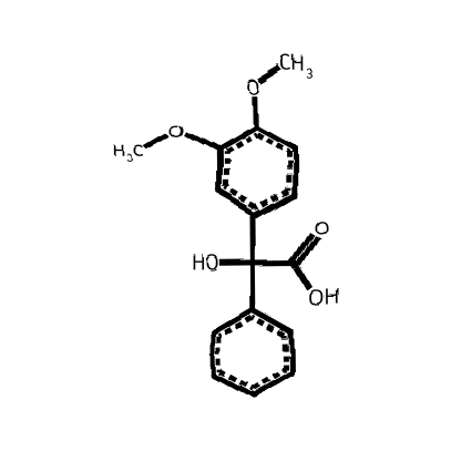 COc1ccc(C(O)(C(=O)O)c2ccccc2)cc1OC